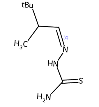 CC(/C=N\NC(N)=S)C(C)(C)C